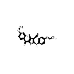 CCOc1ccc(Nc2sc(C(=O)c3ccc(OC)cc3)c(N)c2C#N)cc1